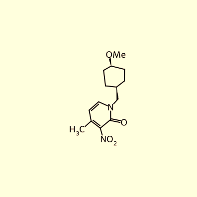 CO[C@H]1CC[C@@H](Cn2ccc(C)c([N+](=O)[O-])c2=O)CC1